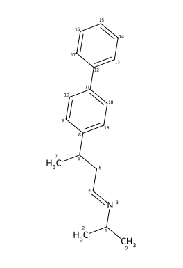 CC(C)N=CCC(C)c1ccc(-c2ccccc2)cc1